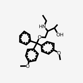 CCNC(COC(c1ccccc1)(c1ccc(OC)cc1)c1ccc(OC)cc1)C(C)O